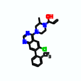 C=CC(O)N1CCN(c2ncnc3cc(-c4ccccc4C(F)(F)F)c(Cl)cc23)CC1C